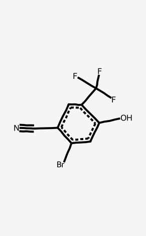 N#Cc1cc(C(F)(F)F)c(O)cc1Br